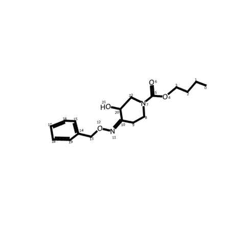 CCCCOC(=O)N1CCC(=NOCc2ccccc2)C(O)C1